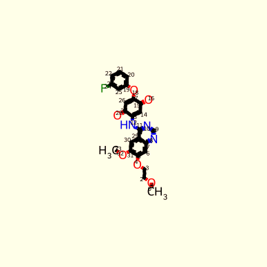 COCCOc1cc2ncnc(NC3=CC(=O)C(Oc4cccc(F)c4)=CC3=O)c2cc1OC